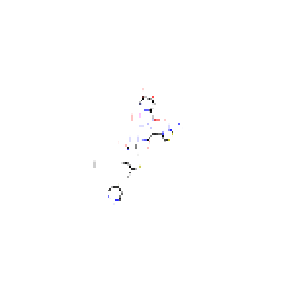 Nc1nc(C(NC(=O)c2cc(=O)c(O)cn2O)C(=O)N[C@@H]2C(=O)N3C(C(=O)O)=C(CSc4ccncc4)CS[C@H]23)cs1